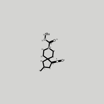 CC1CC(=C=O)C2(CCN(C(=O)OC(C)(C)C)CC2)C1